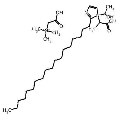 CCCCCCCCCCCCCCCCCCC1=NC=C[N+]1(C(C)O)C(C)C(=O)O.C[N+](C)(C)CC(=O)O